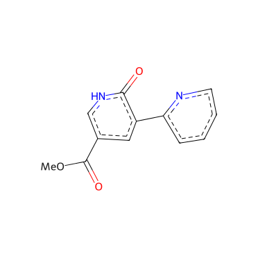 COC(=O)c1c[nH]c(=O)c(-c2ccccn2)c1